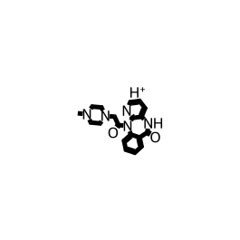 CN1CCN(CC(=O)N2c3ccccc3C(=O)Nc3cccnc32)CC1.[H+]